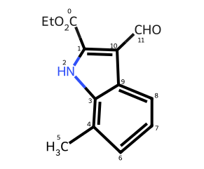 CCOC(=O)c1[nH]c2c(C)cccc2c1C=O